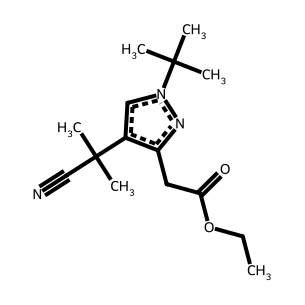 CCOC(=O)Cc1nn(C(C)(C)C)cc1C(C)(C)C#N